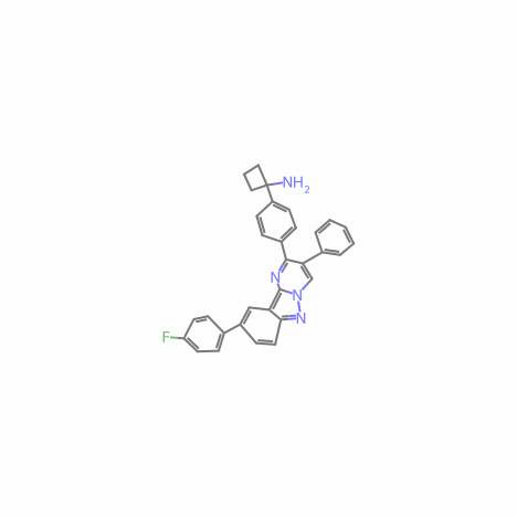 NC1(c2ccc(-c3nc4c5cc(-c6ccc(F)cc6)ccc5nn4cc3-c3ccccc3)cc2)CCC1